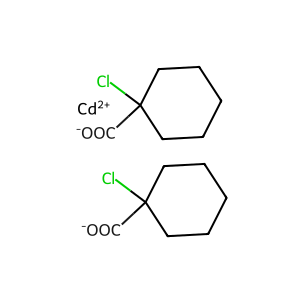 O=C([O-])C1(Cl)CCCCC1.O=C([O-])C1(Cl)CCCCC1.[Cd+2]